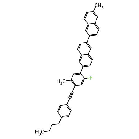 CCCCc1ccc(C#Cc2cc(F)c(-c3ccc4cc(-c5ccc6cc(C)ccc6c5)ccc4c3)cc2C)cc1